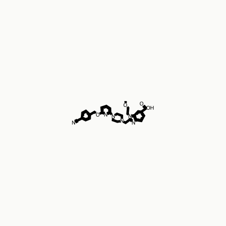 COCCn1c(CN2CCN(c3cccc(OCc4ccc(C#N)cc4)n3)CC2)nc2ccc(C(=O)O)cc21